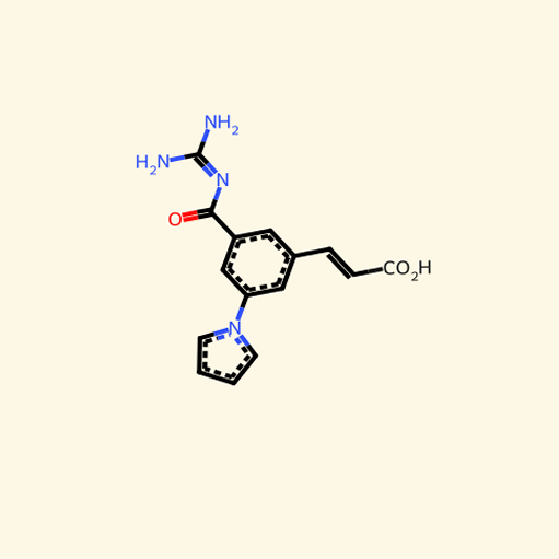 NC(N)=NC(=O)c1cc(/C=C/C(=O)O)cc(-n2cccc2)c1